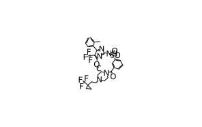 Cc1ccccc1-c1nc2nc(c1C(F)(F)F)OCC1CN(CCC3(C(F)(F)F)CC3)CCN1C(=O)c1cccc(c1)S(=O)(=O)N2